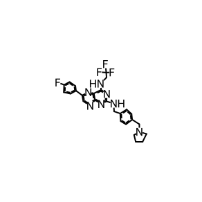 Fc1ccc(-c2cnc3nc(NCc4ccc(CN5CCCC5)cc4)nc(NCC(F)(F)F)c3n2)cc1